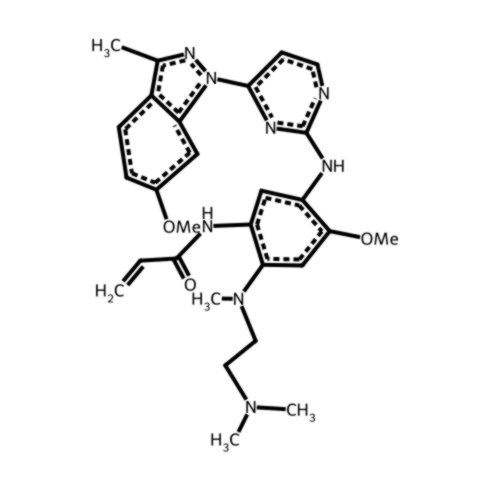 C=CC(=O)Nc1cc(Nc2nccc(-n3nc(C)c4ccc(OC)cc43)n2)c(OC)cc1N(C)CCN(C)C